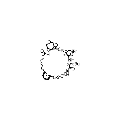 CC[C@H](C)[C@@H]1NC(=O)[C@H](CC(C)C)NCC(=O)C2(CCOCC2)NC(=O)CCSCc2cccc(c2)CSCCNC1=O